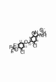 C[S+]([O-])Nc1noc2cc(COc3ccc(OC(F)(F)F)c(Cl)c3)c(Cl)cc12